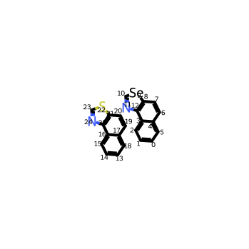 c1ccc2c(c1)ccc1[se]cnc12.c1ccc2c(c1)ccc1scnc12